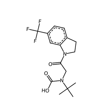 CC(C)(C)N(CC(=O)N1CCc2ccc(C(F)(F)F)cc21)C(=O)O